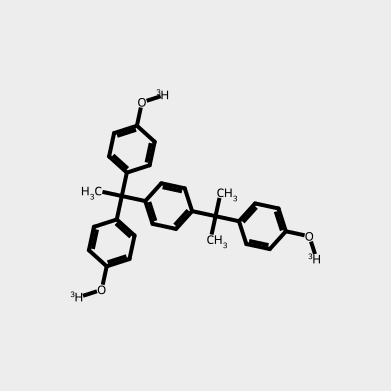 [3H]Oc1ccc(C(C)(C)c2ccc(C(C)(c3ccc(O[3H])cc3)c3ccc(O[3H])cc3)cc2)cc1